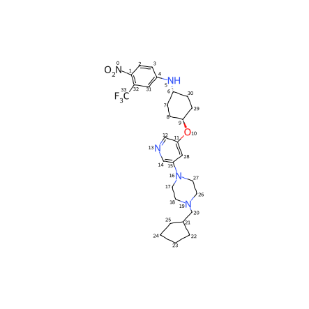 O=[N+]([O-])c1ccc(N[C@H]2CC[C@H](Oc3cncc(N4CCN(CC5CCCC5)CC4)c3)CC2)cc1C(F)(F)F